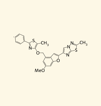 COc1cc(COc2nc(-c3cc[c]cc3)sc2C)c2cc(-c3cn4nc(C)sc4n3)oc2c1